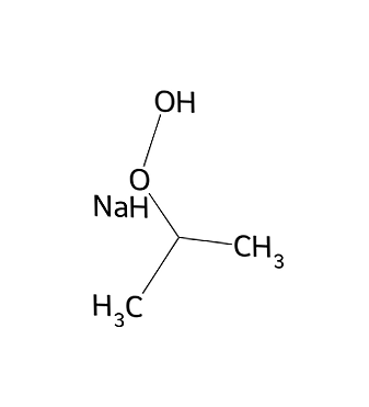 CC(C)OO.[NaH]